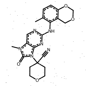 Cc1ccc2c(c1Nc1ncc3c(n1)n(C1(C#N)CCOCC1)c(=O)n3C)COCO2